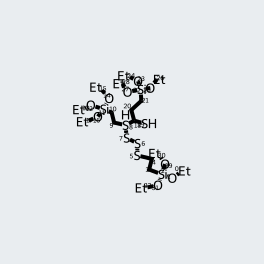 CCO[Si](CCSSS[SH](CC[Si](OCC)(OCC)OCC)C(S)CC[Si](OCC)(OCC)OCC)(OCC)OCC